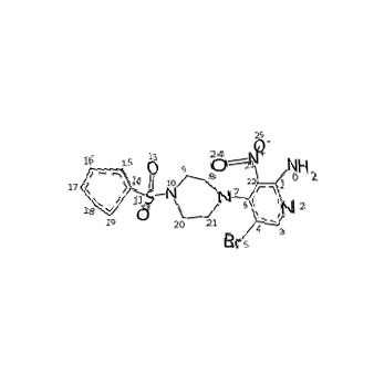 Nc1ncc(Br)c(N2CCN(S(=O)(=O)c3ccccc3)CC2)c1[N+](=O)[O-]